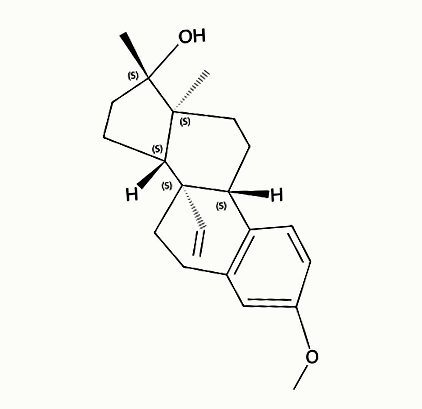 C=C[C@@]12CCc3cc(OC)ccc3[C@H]1CC[C@@]1(C)[C@H]2CC[C@]1(C)O